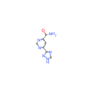 NC(=O)c1cc(-c2nc[nH]n2)ncn1